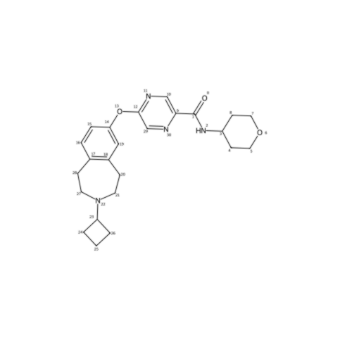 O=C(NC1CCOCC1)c1cnc(Oc2ccc3c(c2)CCN(C2CCC2)CC3)cn1